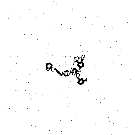 N#Cc1ccc(Sc2cnc(N3CCN(CC#CCOC4CCCCO4)CC3)nc2OCc2cccc(I)c2)cc1C(F)(F)F